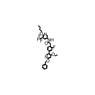 CCCCOc1ncc(NC(=O)Cc2ccc(-c3cnc(OCc4ccccc4)cc3OCC)cc2F)cc1C(F)(F)F